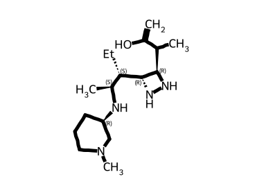 C=C(O)C(C)[C@H]1NN[C@@H]1[C@@H](CC)[C@H](C)N[C@@H]1CCCN(C)C1